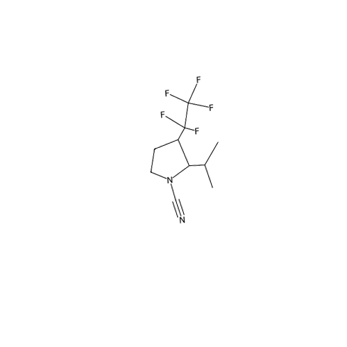 CC(C)C1C(C(F)(F)C(F)(F)F)CCN1C#N